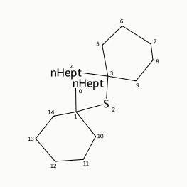 CCCCCCCC1(SC2(CCCCCCC)CCCCC2)CCCCC1